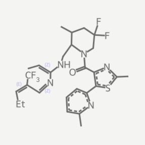 C\C=C(/N=C\C(=C/CC)C(F)(F)F)NCC1C(C)CC(F)(F)CN1C(=O)c1nc(C)sc1-c1cccc(C)n1